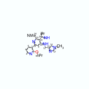 CCCOc1ncccc1-c1cc(NCc2cn(C)cn2)c(C(=N)C(C)C)c(NC)n1